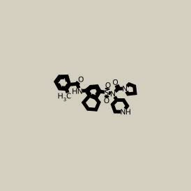 Cc1ccccc1C(=O)Nc1ccc(S(=O)(=O)N(C(=O)N2CCCC2)C2CCNCC2)c2c1CCCC2